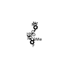 COc1cc(F)ccc1-c1nc(C)c(NC(=O)OCc2ccc3c(c2)nnn3C)s1